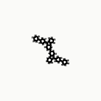 C1=CC2C3=CC(C4=CC5c6ccccc6N(c6ccc(-c7ccccc7)cc6)C5C=C4)CC=C3N(c3ccc(-c4ccccc4)cc3)C2C=C1